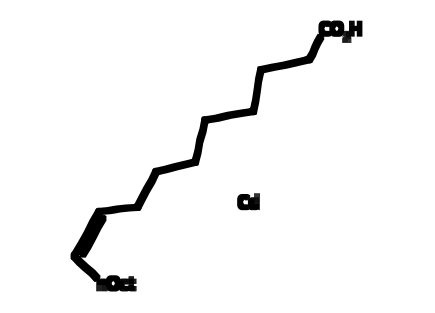 CCCCCCCC/C=C\CCCCCCCC(=O)O.[Cd]